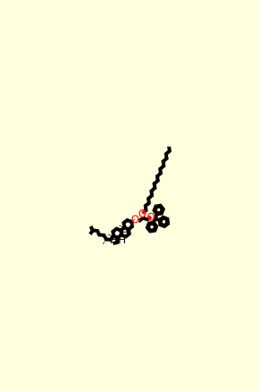 CCCCCCCCCCCCCCCCCCOC(CO[C@H]1CC[C@@]2(C)C(=CC[C@H]3[C@@H]4CC[C@H]([C@H](C)CCCC(C)C)[C@@]4(C)CC[C@@H]32)C1)COC(c1ccccc1)(c1ccccc1)c1ccccc1